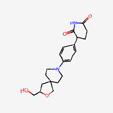 O=C1CCC(c2ccc(N3CCC4(CC3)COC(CO)C4)cc2)C(=O)N1